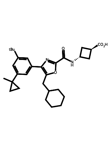 CC(C)(C)c1cc(-c2nc(C(=O)N[C@H]3C[C@H](C(=O)O)C3)oc2CC2CCCCC2)cc(C2(C)CC2)c1